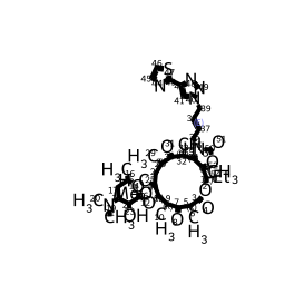 CC[C@H]1OC(=O)[C@H](C)C(=O)[C@H](C)[C@@H](O[C@@H]2OC(C)CC(N(C)C)C2O)[C@](C)(OC)C[C@@H](C)C(=O)[C@H](C)[C@H]2N(C/C=C/Cn3cc(-c4nccs4)nn3)C(=O)O[C@]12C